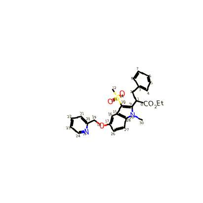 CCOC(=O)C(Cc1ccccc1)c1c(S(C)(=O)=O)c2cc(OCc3ccccn3)ccc2n1C